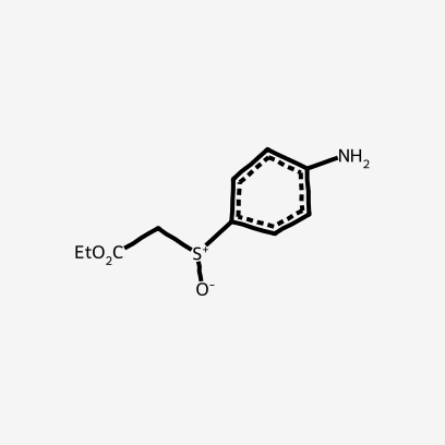 CCOC(=O)C[S+]([O-])c1ccc(N)cc1